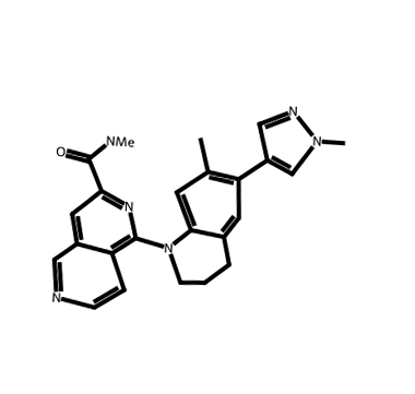 CNC(=O)c1cc2cnccc2c(N2CCCc3cc(-c4cnn(C)c4)c(C)cc32)n1